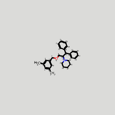 Cc1cc(C)cc(COCC(C(c2ccccc2)c2ccccc2)N2CCCCC2)c1